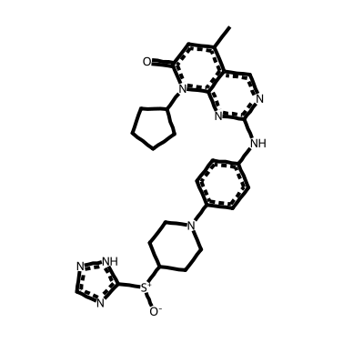 Cc1cc(=O)n(C2CCCC2)c2nc(Nc3ccc(N4CCC([S+]([O-])c5ncn[nH]5)CC4)cc3)ncc12